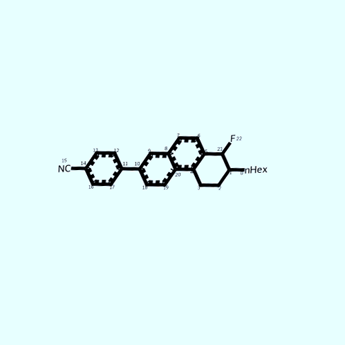 CCCCCCC1CCc2c(ccc3cc(-c4ccc(C#N)cc4)ccc23)C1F